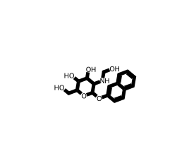 OCNC1C(Oc2ccc3ccccc3c2)OC(CO)C(O)C1O